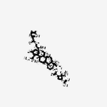 CC(C)C1=C2[C@H]3CC[C@@H]4[C@@]5(C)CC[C@H](OC(=O)[C@H]6C[C@@H](C(=O)O)C6(C)C)C(C)(C)[C@@H]5CC[C@@]4(C)[C@]3(C)CC[C@@]2([C@@H](O)CNC(=O)c2ncc[nH]2)CC1=O